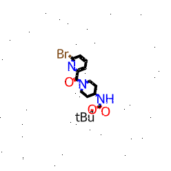 CC(C)(C)OC(=O)NC1CCN(C(=O)c2cccc(Br)n2)CC1